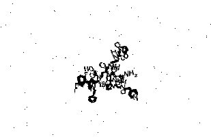 CC(C)(C)[C@H](c1cc(-c2cc(F)ccc2F)cn1Cc1ccccc1)N(CC[C@H](NC(=O)[C@H](CC(N)=O)NC(=O)[C@H]1CCCN1C(=O)CNC(=O)Cc1ccncc1)C(=O)NCCNC(=O)CN1C(=O)C=CC1=O)C(=O)CO